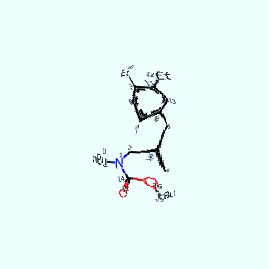 CCCCN(CC(C)Cc1ccc(CC)c(CC)c1)C(=O)OC(C)(C)C